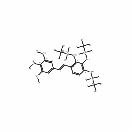 COc1cc(C=Cc2ccc(O[Si](C)(C)C(C)(C)C)c(O[Si](C)(C)C(C)(C)C)c2O[Si](C)(C)C(C)(C)C)cc(OC)c1OC